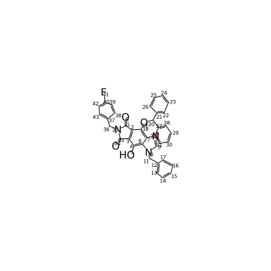 O=C1c2c(c(O)c3c(ncn3Cc3ccccc3)c2OC(c2ccccc2)c2ccccc2)C(=O)N1Cc1ccc(F)cc1